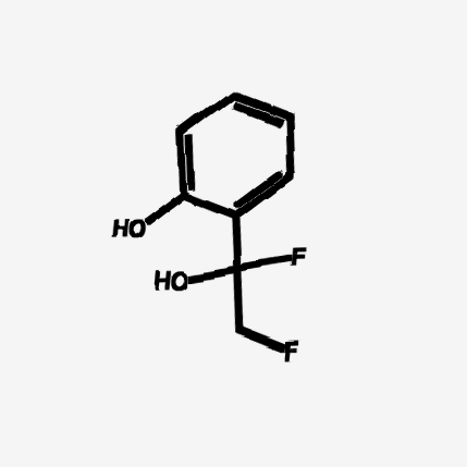 Oc1ccccc1C(O)(F)CF